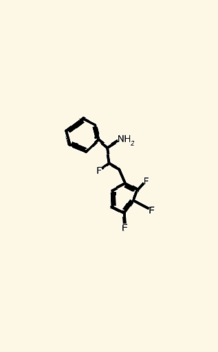 NC(c1ccccc1)C(F)Cc1ccc(F)c(F)c1F